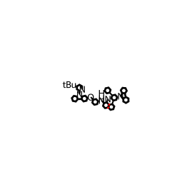 CC(C)(C)c1ccnc(-n2c3ccccc3c3ccc(Oc4cccc(Nc5ccccc5Nc5c(-c6ccccc6)cc(-n6c7ccccc7c7ccccc76)cc5-c5ccccc5)c4)cc32)c1